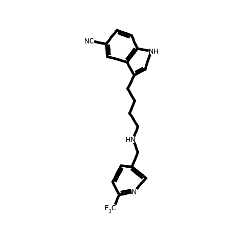 N#Cc1ccc2[nH]cc(CCCCNCc3ccc(C(F)(F)F)nc3)c2c1